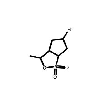 CCC1CC2C(C)OS(=O)(=O)C2C1